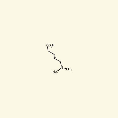 CN(C)C/C=C/CC(=O)O